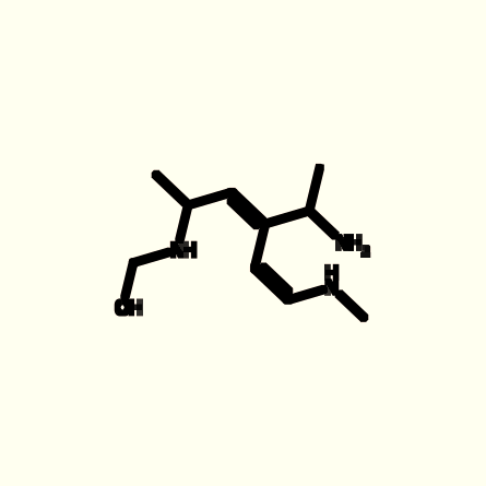 CN/C=C\C(=C/C(C)NCO)C(C)N